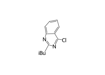 CCC(C)c1nc(Cl)c2ccccc2n1